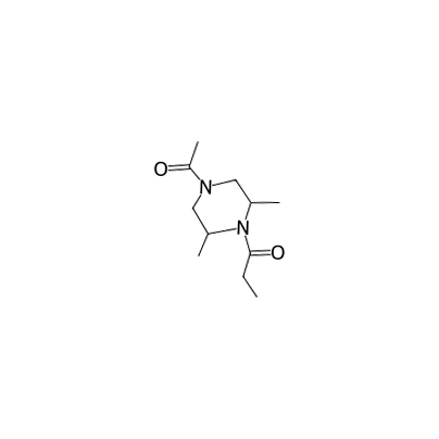 CCC(=O)N1C(C)CN(C(C)=O)CC1C